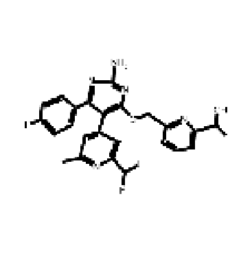 Cc1cc(-c2c(OCc3cccc(C(C)O)n3)nc(N)nc2-c2ccc(F)cc2)cc(C(F)F)n1